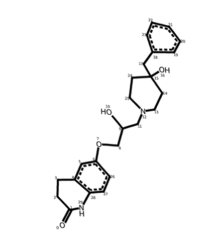 O=C1CCc2cc(OCC(O)CN3CCC(O)(Cc4ccccc4)CC3)ccc2N1